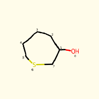 OC1CCCCSC1